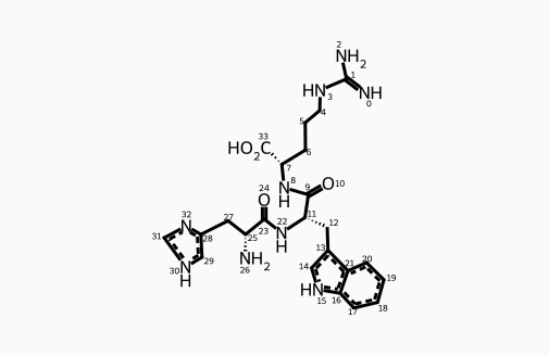 N=C(N)NCCC[C@H](NC(=O)[C@H](Cc1c[nH]c2ccccc12)NC(=O)[C@H](N)Cc1c[nH]cn1)C(=O)O